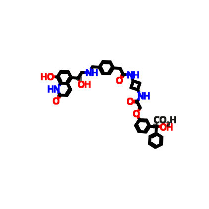 O=C(COc1cccc([C@](O)(C(=O)O)c2ccccc2)c1)NC1CC(NC(=O)Cc2ccc(CNC[C@H](O)c3ccc(O)c4[nH]c(=O)ccc34)cc2)C1